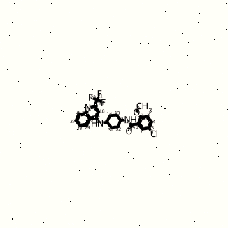 COc1ccc(Cl)cc1C(=O)NC1CCC(Nc2cc(C(F)(F)F)nc3ccccc23)CC1